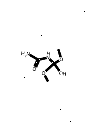 COC(O)(NC(N)=O)OC